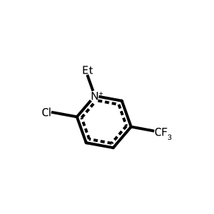 CC[n+]1cc(C(F)(F)F)ccc1Cl